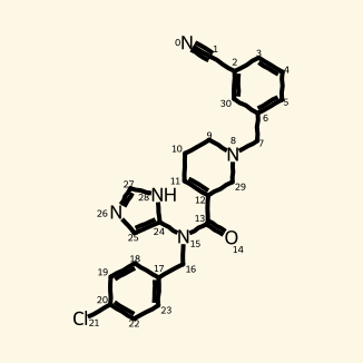 N#Cc1cccc(CN2CCC=C(C(=O)N(Cc3ccc(Cl)cc3)c3cnc[nH]3)C2)c1